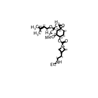 CCNCCC1CN(C(=O)O[C@@H]2CC[C@]3(CO3)[C@@H](C(C)(C)OCC=C(C)C)[C@@H]2OC)C1